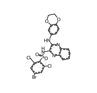 O=S(=O)(Nc1nc2ccccc2nc1Nc1ccc2c(c1)OCCO2)c1c(Cl)cc(Br)cc1Cl